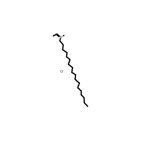 CC=[N+](C)CCCCCCCCCCCCCCCCCC.[Cl-]